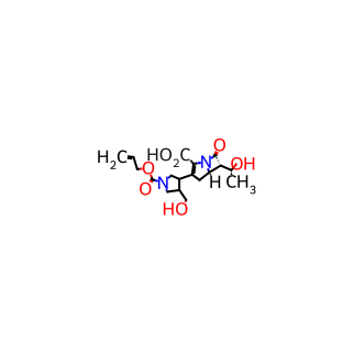 C=CCOC(=O)N1CC(CO)C(C2=C(C(=O)O)N3C(=O)[C@H]([C@@H](C)O)[C@H]3C2)C1